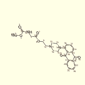 CC(C)(C)OC(=O)NCC(=O)OCCN1CCN(c2cccc3c2C(=O)c2ccccc2C3=O)CC1